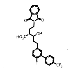 O=C(O)C(CCN1C(=O)c2ccccc2C1=O)C(O)CCc1ccc(F)c(-c2ccc(C(F)(F)F)cc2)c1